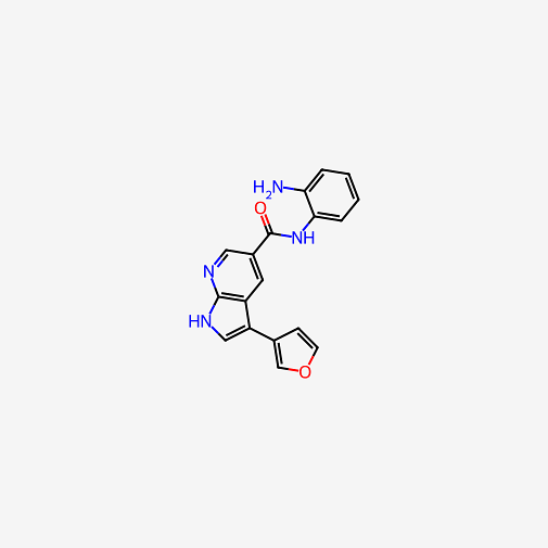 Nc1ccccc1NC(=O)c1cnc2[nH]cc(-c3ccoc3)c2c1